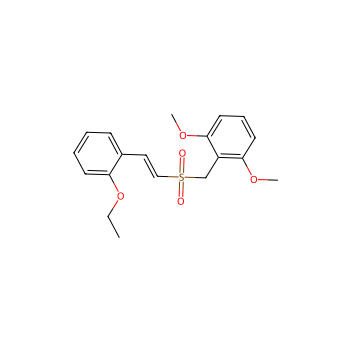 CCOc1ccccc1C=CS(=O)(=O)Cc1c(OC)cccc1OC